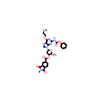 CC[C@H]1O[C@@H](n2cnc3c(OCCC#N)nc(NC(=O)Oc4ccccc4)nc32)C[C@H]1OC(=O)c1ccc2c(c1)C(=O)N(C)C2=O